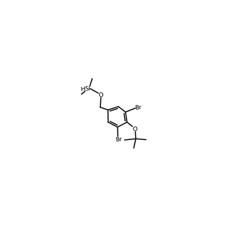 C[SiH](C)OCc1cc(Br)c(OC(C)(C)C)c(Br)c1